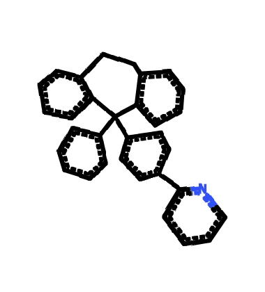 c1ccc(C2(c3ccc(-c4ccccn4)cc3)c3ccccc3CCc3ccccc32)cc1